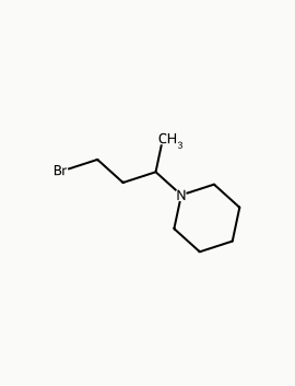 CC(CCBr)N1CCCCC1